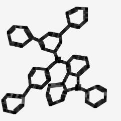 C1=C(c2ccccc2)C=C(c2ccccc2)CC1N(c1ccc(-c2ccccc2)cc1)c1cccc2c1c1ccccc1n2-c1ccccc1